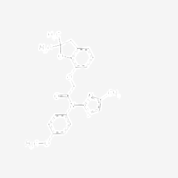 COc1ccc(N(C(=O)COc2cccc3c2OC(C)(C)C3)c2nc(C)cs2)cc1